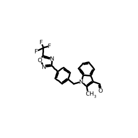 Cc1c(C=O)c2ccccc2n1Cc1ccc(-c2noc(C(F)(F)F)n2)cc1